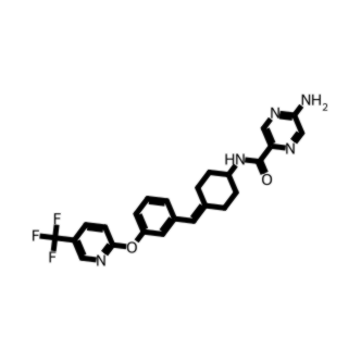 Nc1cnc(C(=O)NC2CCC(=Cc3cccc(Oc4ccc(C(F)(F)F)cn4)c3)CC2)cn1